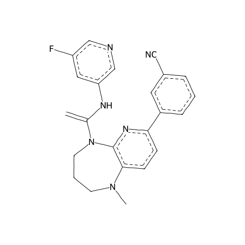 C=C(Nc1cncc(F)c1)N1CCCN(C)c2ccc(-c3cccc(C#N)c3)nc21